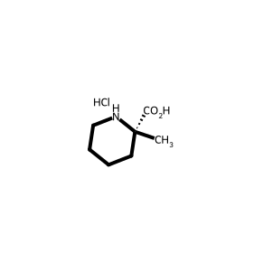 C[C@@]1(C(=O)O)CCCCN1.Cl